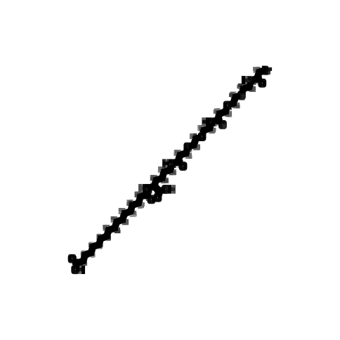 O=C(O)CCCCCCCCCCCCCCCCC(=O)NC(CCCCNC(=O)CCOCCOCCNC(=O)CCOCCOCCNC(=O)CBr)C(=O)O